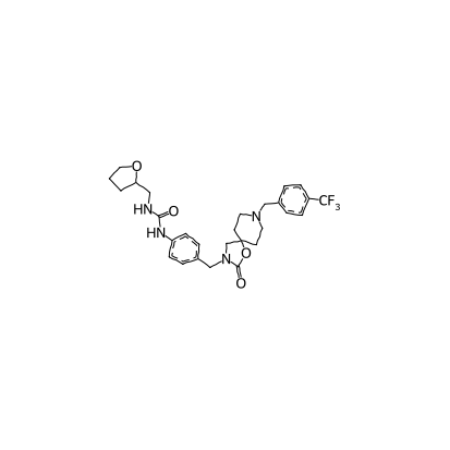 O=C(NCC1CCCO1)Nc1ccc(CN2CC3(CCN(Cc4ccc(C(F)(F)F)cc4)CC3)OC2=O)cc1